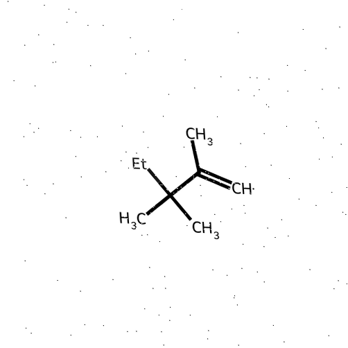 [CH]=C(C)C(C)(C)CC